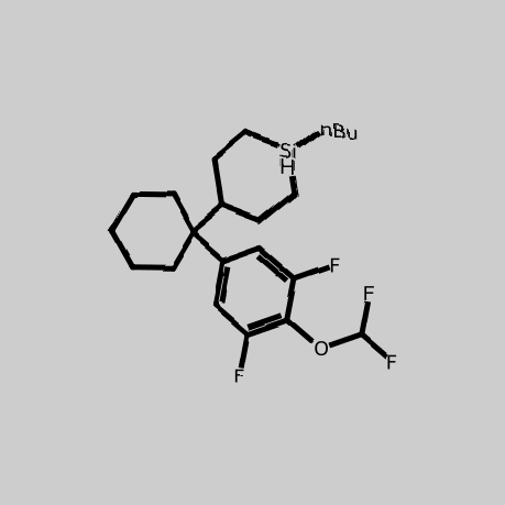 CCCC[SiH]1CCC(C2(c3cc(F)c(OC(F)F)c(F)c3)CCCCC2)CC1